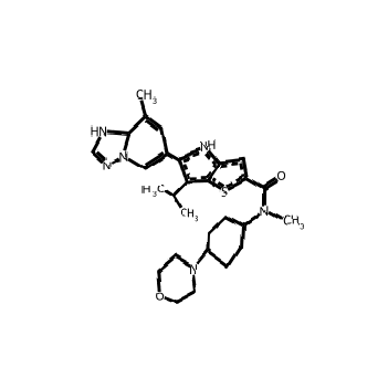 CC1=CC(c2[nH]c3cc(C(=O)N(C)C4CCC(N5CCOCC5)CC4)sc3c2C(C)C)=CN2N=CNC12